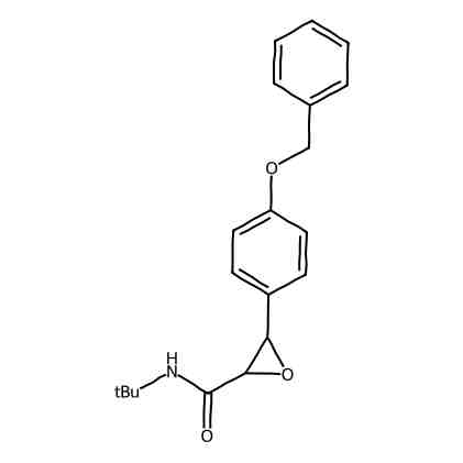 CC(C)(C)NC(=O)C1OC1c1ccc(OCc2ccccc2)cc1